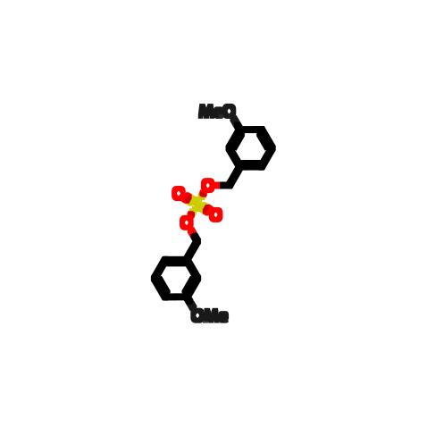 COc1cccc(COS(=O)(=O)OCc2cccc(OC)c2)c1